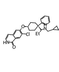 CCC(NCC1CC1)[C@]1(c2ccccc2)CC[C@H](Oc2cc3cc[nH]c(=O)c3cc2Cl)CC1